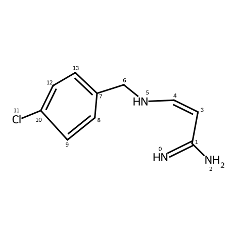 N=C(N)/C=C\NCc1ccc(Cl)cc1